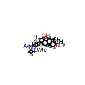 COC(C[C@@H](C)[C@H]1C[C@H](O)[C@@]2(C)C3CC[C@H]4C(C)(C)C(O)CCC45CC35CCC12C)CN(C(C)=O)C1CCC1